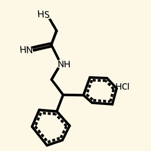 Cl.N=C(CS)NCC(c1ccccc1)c1ccccc1